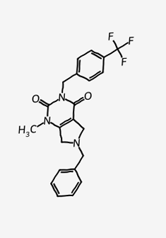 Cn1c2c(c(=O)n(Cc3ccc(C(F)(F)F)cc3)c1=O)CN(Cc1ccccc1)C2